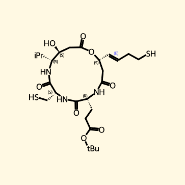 CC(C)[C@H]1NC(=O)[C@@H](CS)NC(=O)[C@@H](CCC(=O)OC(C)(C)C)NC(=O)C[C@@H](/C=C/CCS)OC(=O)C[C@@H]1O